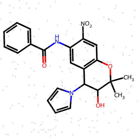 CC1(C)Oc2cc([N+](=O)[O-])c(NC(=O)c3ccccc3)cc2C(n2cccc2)C1O